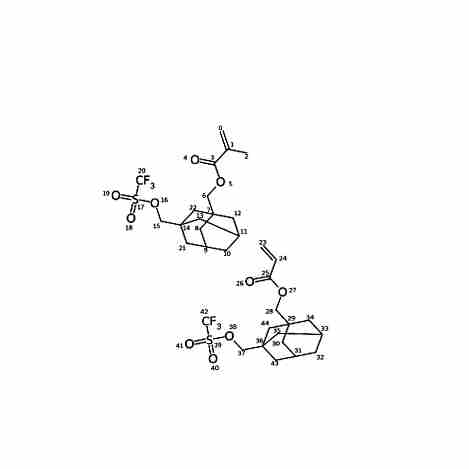 C=C(C)C(=O)OCC12CC3CC(C1)CC(COS(=O)(=O)C(F)(F)F)(C3)C2.C=CC(=O)OCC12CC3CC(C1)CC(COS(=O)(=O)C(F)(F)F)(C3)C2